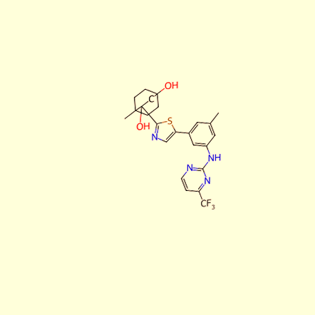 Cc1cc(Nc2nccc(C(F)(F)F)n2)cc(-c2cnc(C3(O)CC4(O)CCC3(C)CC4)s2)c1